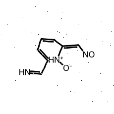 N=CC1=CC=C/C(=C/N=O)[NH+]1[O-]